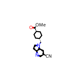 COC(=O)[C@H]1CC[C@H](Cn2ccc3ncc(C#N)cc32)CC1